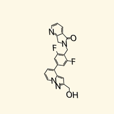 O=C1c2cccnc2CN1Cc1c(F)cc(-c2cccn3nc(CO)cc23)cc1F